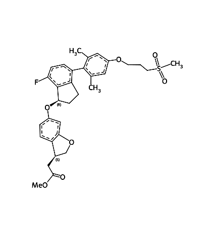 COC(=O)C[C@@H]1COc2cc(O[C@@H]3CCc4c(-c5c(C)cc(OCCCS(C)(=O)=O)cc5C)ccc(F)c43)ccc21